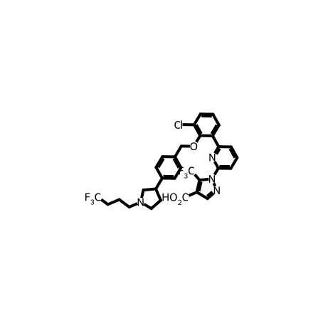 O=C(O)c1cnn(-c2cccc(-c3cccc(Cl)c3OCc3ccc(C4CCN(CCCC(F)(F)F)C4)cc3)n2)c1C(F)(F)F